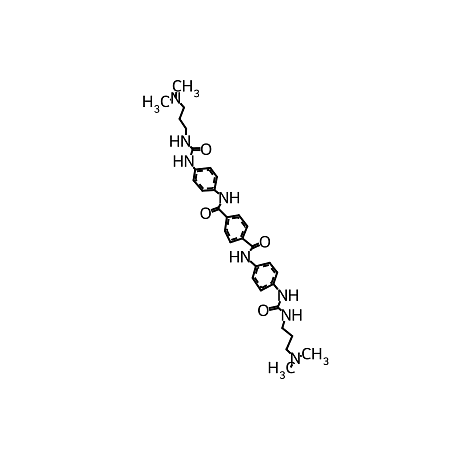 CN(C)CCCNC(=O)Nc1ccc(NC(=O)c2ccc(C(=O)Nc3ccc(NC(=O)NCCCN(C)C)cc3)cc2)cc1